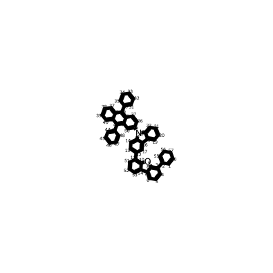 C1=CC(c2cccc3c2oc2c(-c4ccc5c(c4)c4ccccc4n5-c4ccc5c(-c6ccccc6)c6ccccc6c(-c6ccccc6)c5c4)cccc23)=CCC1